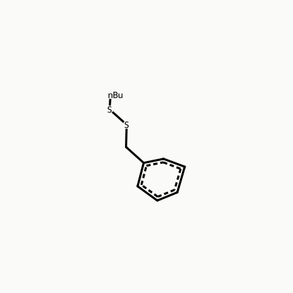 CCCCSSCc1ccccc1